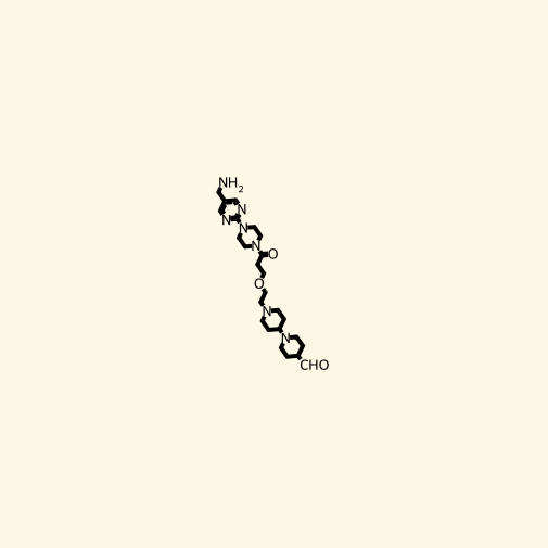 NCc1cnc(N2CCN(C(=O)CCOCCN3CCC(N4CCC(C=O)CC4)CC3)CC2)nc1